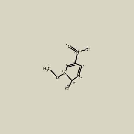 CON1C=C([N+](=O)[O-])C=NC1Cl